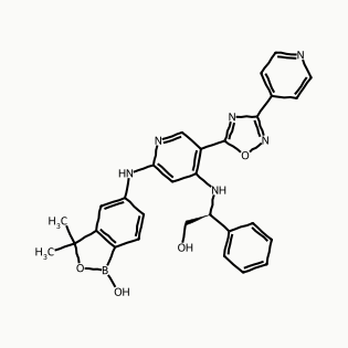 CC1(C)OB(O)c2ccc(Nc3cc(N[C@H](CO)c4ccccc4)c(-c4nc(-c5ccncc5)no4)cn3)cc21